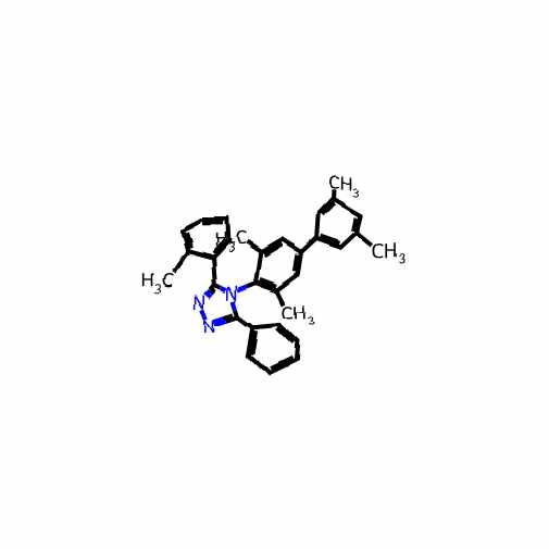 Cc1cc(C)cc(-c2cc(C)c(-n3c(-c4ccccc4)nnc3-c3ccccc3C)c(C)c2)c1